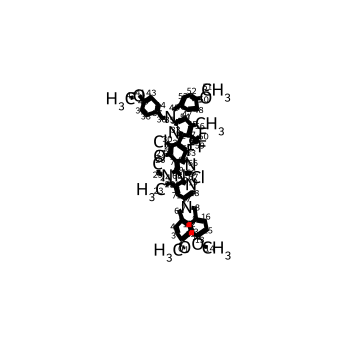 COc1ccc(CN(Cc2ccc(OC)cc2)c2cncc(C(C)N3CCOc4c(Cl)c(-c5nc(N(Cc6ccc(OC)cc6)Cc6ccc(OC)cc6)cc(C)c5C(F)(F)F)c(F)c5nc(Cl)nc3c45)c2)cc1